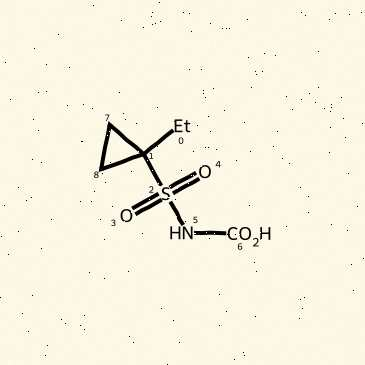 CCC1(S(=O)(=O)NC(=O)O)CC1